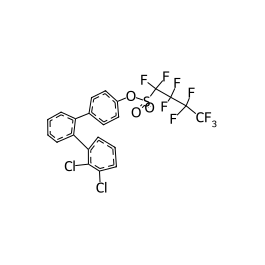 O=S(=O)(Oc1ccc(-c2ccccc2-c2cccc(Cl)c2Cl)cc1)C(F)(F)C(F)(F)C(F)(F)C(F)(F)F